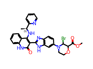 COC(=O)C1OCCN(c2ccc3nc(-c4c(N[C@@H](C)c5ccccn5)c5ccccc5[nH]c4=O)[nH]c3c2)C1Br